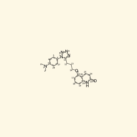 CN(C)c1ccc(-n2nnnc2CCCOc2cccc3[nH]c(=O)ccc23)cc1